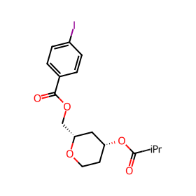 CC(C)C(=O)O[C@@H]1CCO[C@H](COC(=O)c2ccc(I)cc2)C1